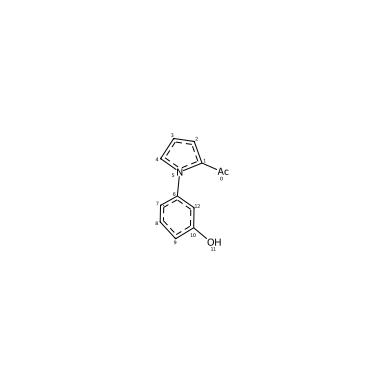 CC(=O)c1cccn1-c1[c]ccc(O)c1